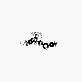 CC(C)(C)OC(=O)N1Cc2cc(S(C)(=O)=O)ccc2[C@@H]1C(=O)Nc1cnc(C2CCOC[C@H](c3ccc(C(F)(F)F)cc3)CC2)nc1